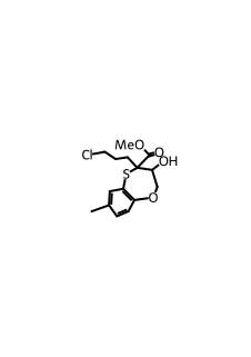 COC(=O)C1(CCCCl)Sc2cc(C)ccc2OCC1O